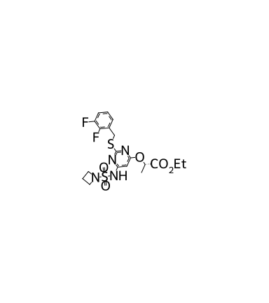 CCOC(=O)[C@H](C)Oc1cc(NS(=O)(=O)N2CCC2)nc(SCc2cccc(F)c2F)n1